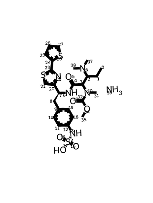 CCC(C(C(=O)N[C@@H](Cc1ccc(NS(=O)(=O)O)cc1)c1csc(-c2cccs2)n1)N(C)C(=O)OC)N(C)C.N